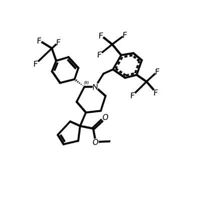 COC(=O)C1(C2CCN(Cc3cc(C(F)(F)F)ccc3C(F)(F)F)[C@@H](C3C=CC(C(F)(F)F)=CC3)C2)CC=CC1